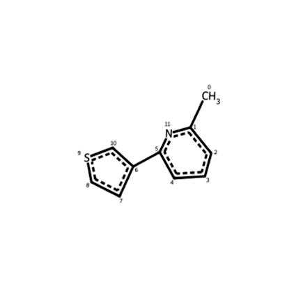 Cc1cccc(-c2ccsc2)n1